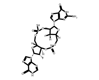 Nc1nc2c(ncn2[C@@H]2O[C@@H]3CO[PH](=O)O[C@H]4[C@H](F)[C@H](n5cnc6c(=O)[nH]cnc65)O[C@@H]4COP(=O)(S)O[C@@H]2[C@H]3F)c(=O)[nH]1